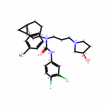 N#Cc1cccc([C@]23CC[C@@H](N(CCCN4CC[C@@H](O)C4)C(=O)Nc4ccc(F)c(Cl)c4)CC2C3)c1